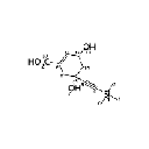 C[Si](C)(C)C#C[C@@]1(O)CC(C(=O)O)=C[C@H](O)C1